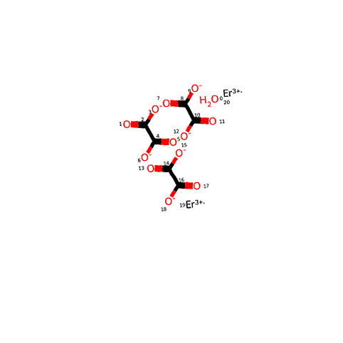 O.O=C([O-])C(=O)[O-].O=C([O-])C(=O)[O-].O=C([O-])C(=O)[O-].[Er+3].[Er+3]